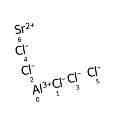 [Al+3].[Cl-].[Cl-].[Cl-].[Cl-].[Cl-].[Sr+2]